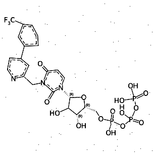 O=c1ccn([C@@H]2O[C@H](COP(=O)(O)OP(=O)(O)OP(=O)(O)O)[C@H](O)C2O)c(=O)n1Cc1cc(-c2cccc(C(F)(F)F)c2)ccn1